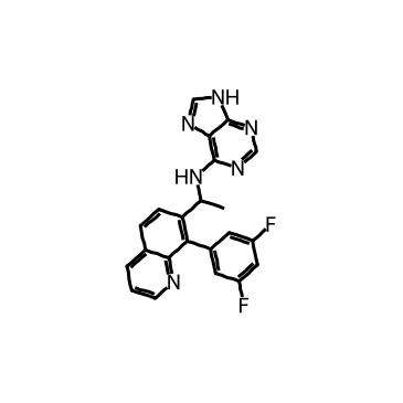 CC(Nc1ncnc2[nH]cnc12)c1ccc2cccnc2c1-c1cc(F)cc(F)c1